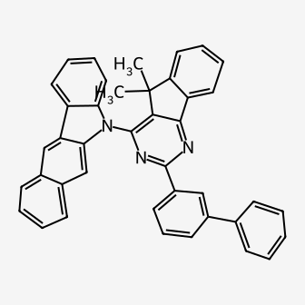 CC1(C)c2ccccc2-c2nc(-c3cccc(-c4ccccc4)c3)nc(-n3c4ccccc4c4cc5ccccc5cc43)c21